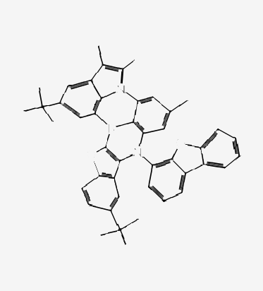 Cc1cc2c3c(c1)-n1c(C)c(C)c4cc(C(C)(C)C)cc(c41)B3c1oc3ccc(C(C)(C)C)cc3c1N2c1cccc2c1oc1ccccc12